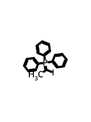 CC(I)=P(c1ccccc1)(c1ccccc1)c1ccccc1